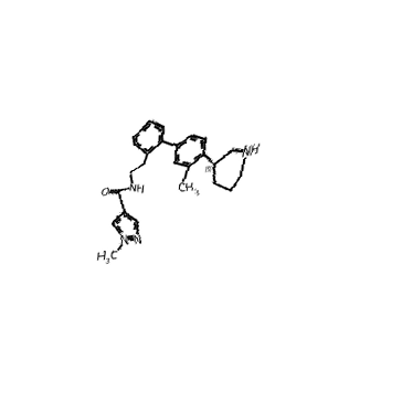 Cc1cc(-c2ccccc2CCNC(=O)c2cnn(C)c2)ccc1[C@@H]1CCCNC1